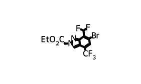 CCOC(=O)Cn1cc2c(C(F)(F)F)cc(Br)c(C(F)F)c2n1